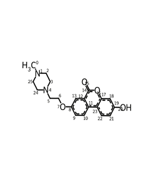 CN1CCN(CCOc2ccc3c(c2)c(=O)oc2cc(O)ccc23)CC1